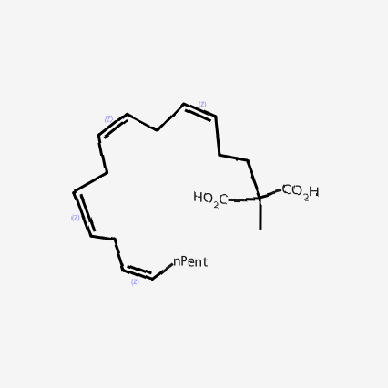 CCCCC/C=C\C/C=C\C/C=C\C/C=C\CCC(C)(C(=O)O)C(=O)O